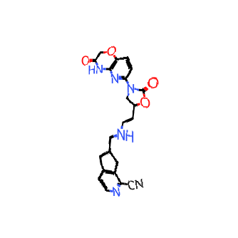 N#Cc1nccc2c1CC(CNCCC1CN(c3ccc4c(n3)NC(=O)CO4)C(=O)O1)C2